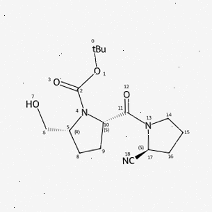 CC(C)(C)OC(=O)N1[C@@H](CO)CC[C@H]1C(=O)N1CCC[C@H]1C#N